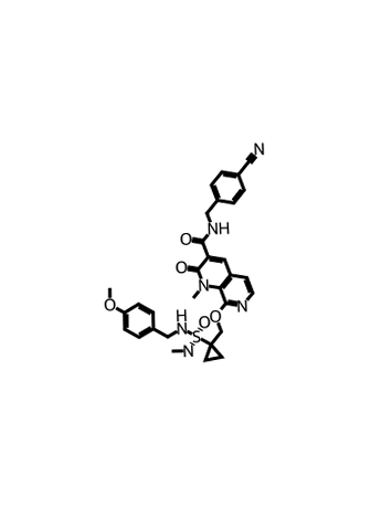 CN=S(=O)(NCc1ccc(OC)cc1)C1(COc2nccc3cc(C(=O)NCc4ccc(C#N)cc4)c(=O)n(C)c23)CC1